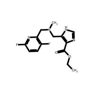 CCOC(=O)c1nc[nH]c1CN(C)Cc1nc(F)ccc1F